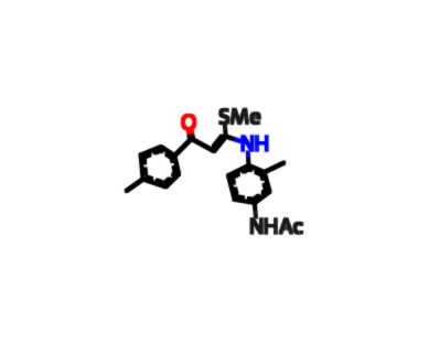 CS/C(=C\C(=O)c1ccc(C)cc1)Nc1ccc(NC(C)=O)cc1C